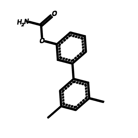 Cc1cc(C)cc(-c2cccc(OC(N)=O)c2)c1